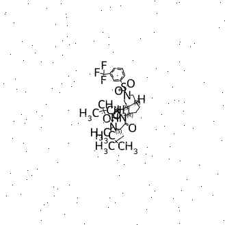 CN(C(=O)OC(C)(C)C)[C@@H](CC(C)(C)C)C(=O)N[C@@H]1CC[C@H]2CN(S(=O)(=O)c3cccc(C(F)(F)F)c3)C[C@H]21